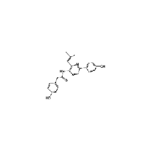 CC(C)=Cc1nc(-c2ccc(O)cc2)cnc1NC(=O)Cc1ccc(O)cc1